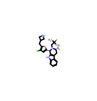 C[C@@H]1Cc2c([nH]c3ccccc23)[C@@H](c2cc(F)c(CC3CNC3)s2)N1CC(C)(C)F